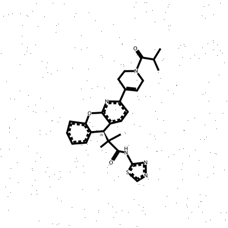 CC(C)C(=O)N1CC=C(c2ccc3c(n2)Oc2ccccc2[C@@H]3C(C)(C)C(=O)Nc2nncs2)CC1